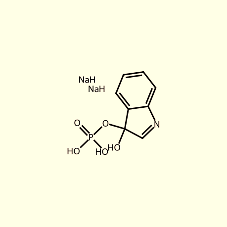 O=P(O)(O)OC1(O)C=Nc2ccccc21.[NaH].[NaH]